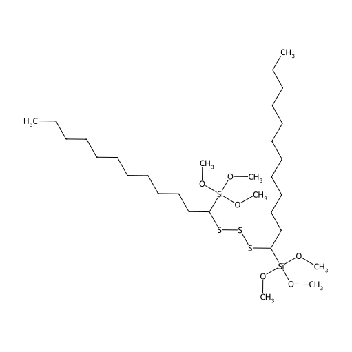 CCCCCCCCCCCC(SSSC(CCCCCCCCCCC)[Si](OC)(OC)OC)[Si](OC)(OC)OC